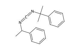 CC(N=C=NC(C)(C)c1ccccc1)c1ccccc1